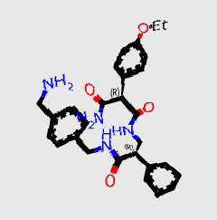 CCOc1ccc([C@H](C(N)=O)C(=O)NC[C@H](C(=O)NCc2ccc(CN)cc2)c2ccccc2)cc1